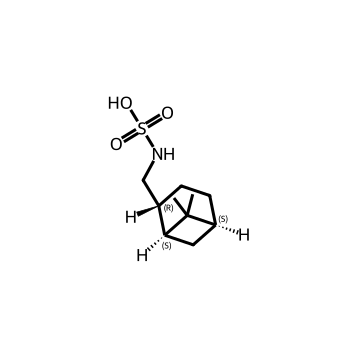 CC1(C)[C@H]2CC[C@@H](CNS(=O)(=O)O)[C@@H]1C2